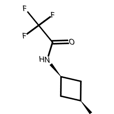 N[C@H]1C[C@@H](NC(=O)C(F)(F)F)C1